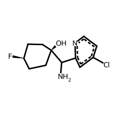 NC(c1cc(Cl)ccn1)[C@]1(O)CC[C@@H](F)CC1